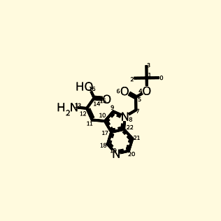 CC(C)(C)OC(=O)Cn1cc(/C=C(/N)C(=O)O)c2cnccc21